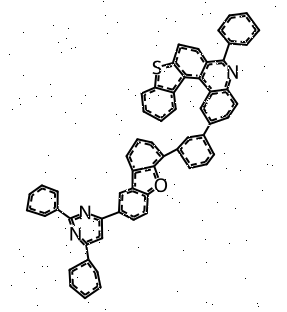 c1ccc(-c2cc(-c3ccc4oc5c(-c6cccc(-c7ccc8nc(-c9ccccc9)c9ccc%10sc%11ccccc%11c%10c9c8c7)c6)cccc5c4c3)nc(-c3ccccc3)n2)cc1